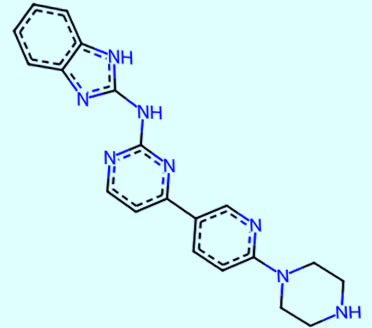 c1ccc2[nH]c(Nc3nccc(-c4ccc(N5CCNCC5)nc4)n3)nc2c1